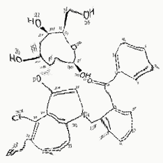 O=C(c1ccccc1)c1ccccc1-n1cc(O[C@@H]2[C@@H](O)[C@@H](O)[C@@H](CO)O[C@H]2O)c2c(Cl)c(Br)ccc21